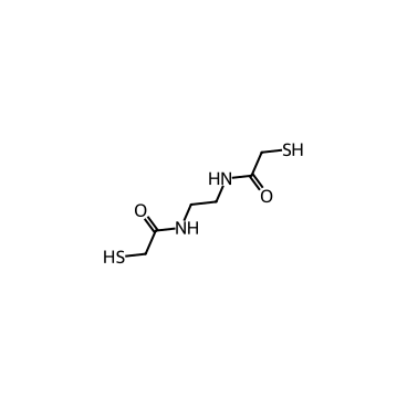 O=C(CS)NCCNC(=O)CS